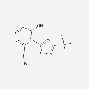 N#Cc1cccc(O)c1-c1cc(C(F)(F)F)no1